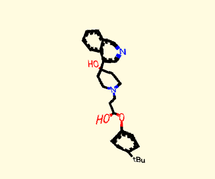 CC(C)(C)c1ccc(OC(O)CCN2CCC(O)(c3cncc4ccccc34)CC2)cc1